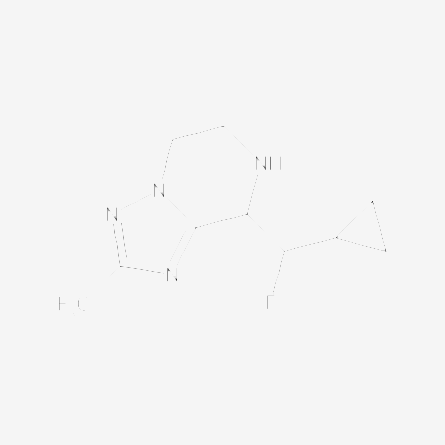 FC(C1CC1)C1NCCn2nc(C(F)(F)F)nc21